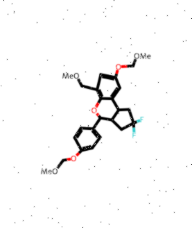 COCOc1ccc(C2Oc3c(COC)cc(OCOC)cc3C3CC(F)(F)CC32)cc1